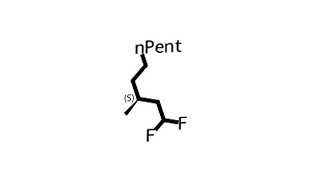 CCCCCCC[C@H](C)CC(F)F